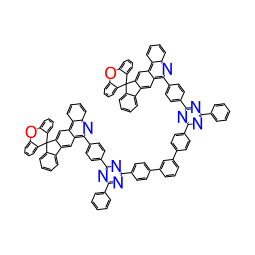 c1ccc(-c2nc(-c3ccc(-c4cccc(-c5ccc(-c6nc(-c7ccccc7)nc(-c7ccc(-c8nc9ccccc9c9cc%10c(cc89)-c8ccccc8C%108c9ccccc9Oc9ccccc98)cc7)n6)cc5)c4)cc3)nc(-c3ccc(-c4nc5ccccc5c5cc6c(cc45)-c4ccccc4C64c5ccccc5Oc5ccccc54)cc3)n2)cc1